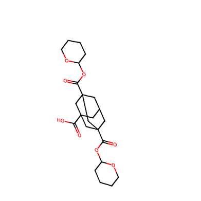 O=C(O)C12CC3CC(C(=O)OC4CCCCO4)(C1)CC(C(=O)OC1CCCCO1)(C3)C2